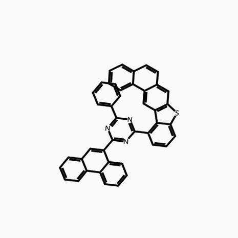 c1ccc(-c2nc(-c3cc4ccccc4c4ccccc34)nc(-c3cccc4sc5cc6ccc7ccccc7c6cc5c34)n2)cc1